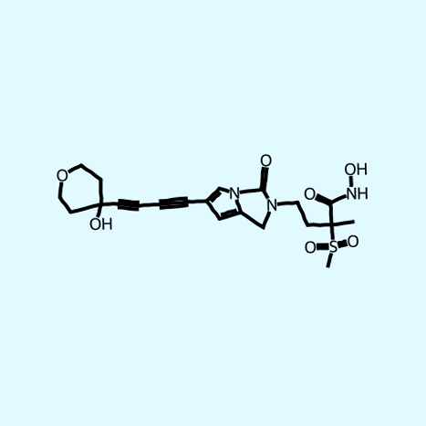 CC(CCN1Cc2cc(C#CC#CC3(O)CCOCC3)cn2C1=O)(C(=O)NO)S(C)(=O)=O